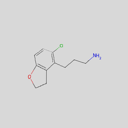 NCCCc1c(Cl)ccc2c1CCO2